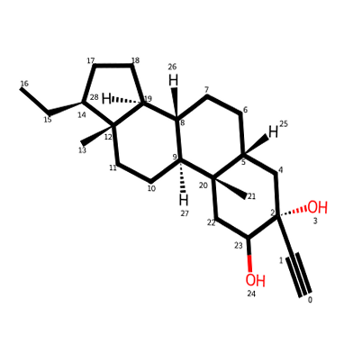 C#C[C@]1(O)C[C@H]2CC[C@@H]3[C@H](CC[C@]4(C)[C@@H](CC)CC[C@@H]34)[C@@]2(C)CC1O